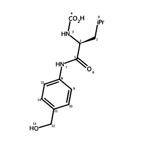 CC(C)C[C@H](NC(=O)O)C(=O)Nc1ccc(CO)cc1